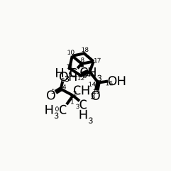 CC(C)(C)C(=O)O.CC1(C)C2CC=C(C(=O)O)C1C2